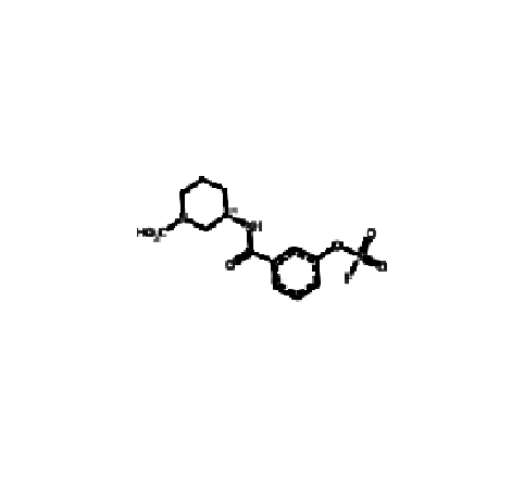 O=C(N[C@@H]1CCCN(C(=O)O)C1)c1cccc(OS(=O)(=O)F)c1